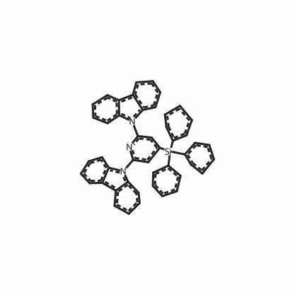 c1ccc([Si](c2ccccc2)(c2ccccc2)c2cc(-n3c4ccccc4c4ccccc43)nc(-n3c4ccccc4c4ccccc43)c2)cc1